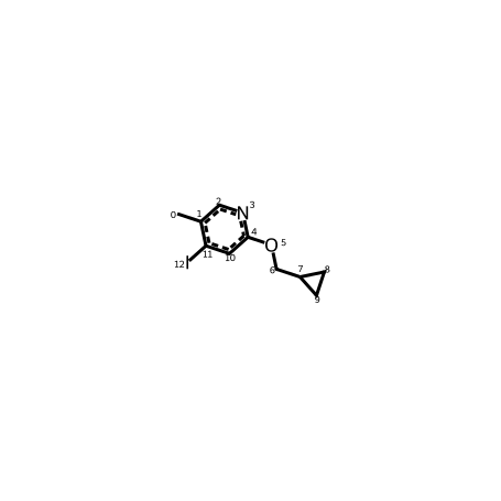 Cc1cnc(OCC2CC2)cc1I